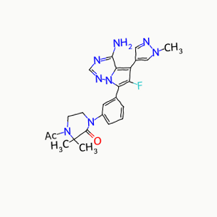 CC(=O)N1CCN(c2cccc(-c3c(F)c(-c4cnn(C)c4)c4c(N)ncnn34)c2)C(=O)C1(C)C